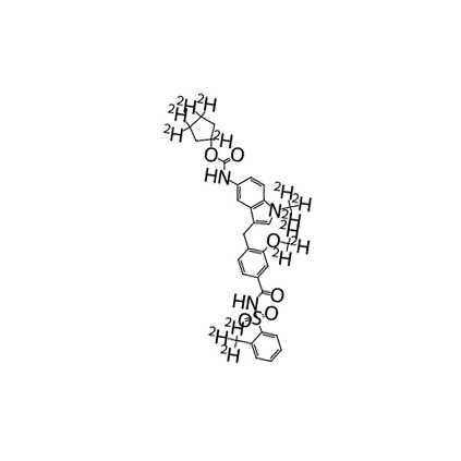 [2H]C([2H])([2H])Oc1cc(C(=O)NS(=O)(=O)c2ccccc2C([2H])([2H])[2H])ccc1Cc1cn(C([2H])([2H])[2H])c2ccc(NC(=O)OC3([2H])CC([2H])([2H])C([2H])([2H])C3)cc12